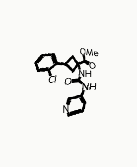 COC(=O)C1(NC(=O)Nc2cccnc2)CC(c2ccccc2Cl)C1